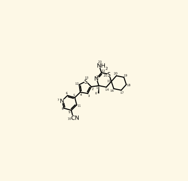 C[C@]1(c2cc(-c3cncc(C#N)c3)cs2)CC2(CCCCC2)SC(N)=N1